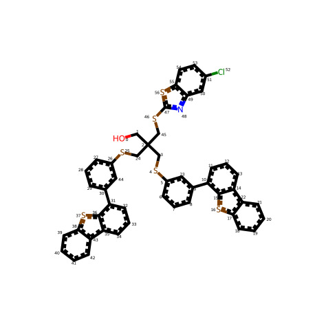 OCC(CSc1cccc(-c2cccc3c2sc2ccccc23)c1)(CSc1cccc(-c2cccc3c2sc2ccccc23)c1)CSc1nc2cc(Cl)ccc2s1